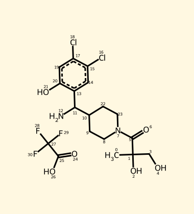 CC(O)(CO)C(=O)N1CCC(C(N)c2cc(Cl)c(Cl)cc2O)CC1.O=C(O)C(F)(F)F